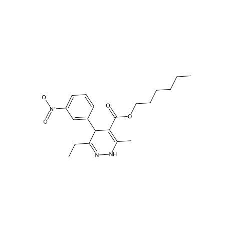 CCCCCCOC(=O)C1=C(C)NN=C(CC)C1c1cccc([N+](=O)[O-])c1